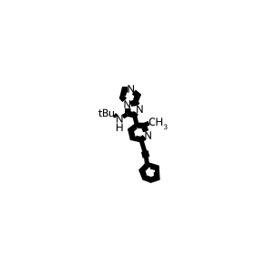 Cc1nc(C#Cc2ccccc2)ccc1-c1nc2cnccn2c1NC(C)(C)C